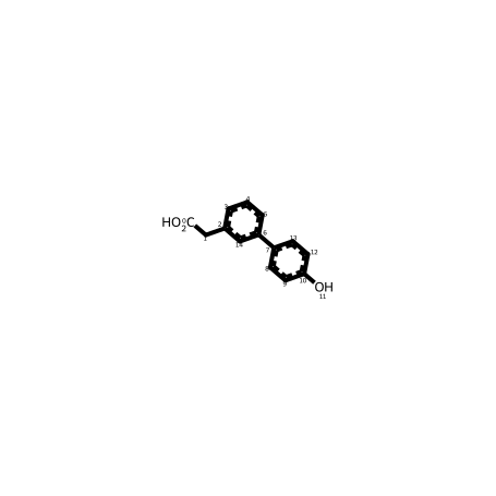 O=C(O)Cc1cccc(-c2ccc(O)cc2)c1